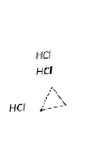 C1CC1.Cl.Cl.Cl